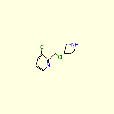 C1CCNC1.ClCc1ncccc1Cl